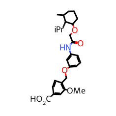 COc1cc(C(=O)O)ccc1COc1cccc(NC(=O)COC2CCCC(C)C2C(C)C)c1